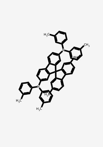 Bc1ccc2c(c1)C1(c3cc(B)ccc3-2)c2cc(N(c3cccc(C)c3)c3cccc(C)c3)ccc2-c2ccc(N(c3cccc(C)c3)c3cccc(C)c3)cc21